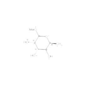 COC1O[C@@H](C)C(O)[C@H](O)[C@@H]1O